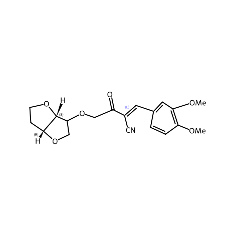 COc1ccc(/C=C(\C#N)C(=O)COC2CO[C@@H]3CCO[C@H]23)cc1OC